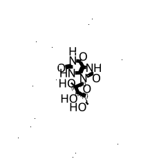 O=c1[nH]c(=O)c2[nH]c(=O)n([C@@H]3O[C@H](CO)[C@@H](O)[C@H]3O)c2[nH]1